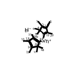 CC1=C(C)C(C)(C)[C]([Sm+][C]2=C(C)C(C)=C(C)C2(C)C)=C1C.[H-]